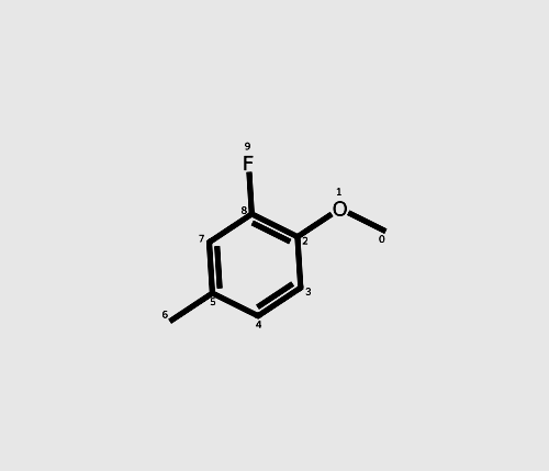 COc1ccc(C)cc1F